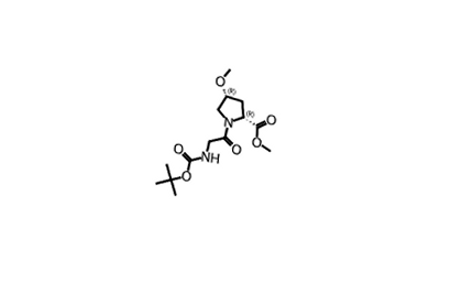 COC(=O)[C@H]1C[C@@H](OC)CN1C(=O)CNC(=O)OC(C)(C)C